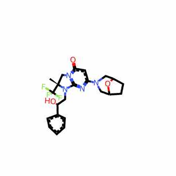 C[C@@]1(C(F)(F)F)Cn2c(nc(N3CC4CCC(C3)O4)cc2=O)N1C[C@H](O)c1ccccc1